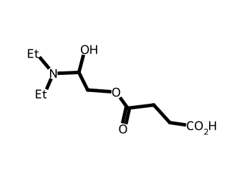 CCN(CC)C(O)COC(=O)CCC(=O)O